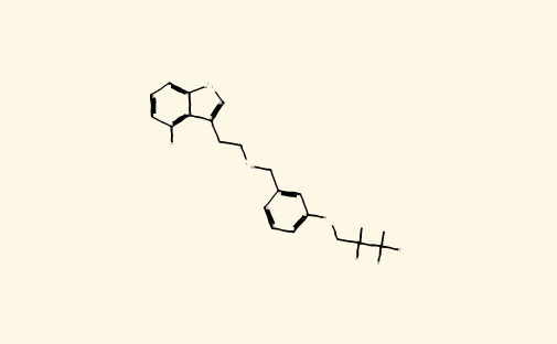 Fc1cccc2[nH]cc(CCNCc3cccc(OCC(F)(F)C(F)(F)F)c3)c12